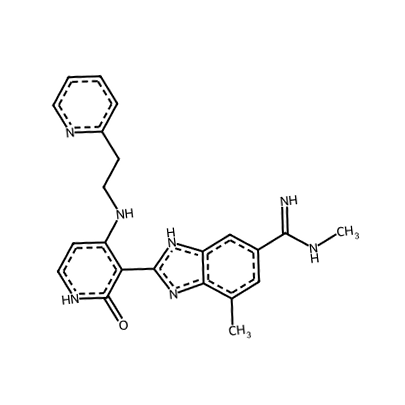 CNC(=N)c1cc(C)c2nc(-c3c(NCCc4ccccn4)cc[nH]c3=O)[nH]c2c1